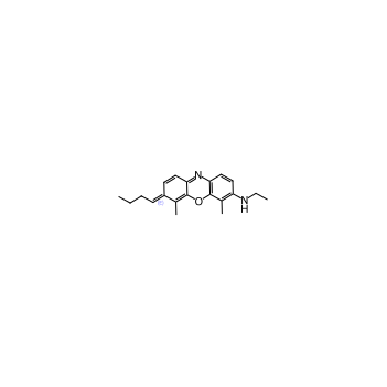 CCC/C=c1\ccc2c(c1C)Oc1c(ccc(NCC)c1C)N=2